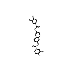 Cc1cc(OC(=O)c2ccc(F)c(F)c2)cc2ccc(OC(=O)c3ccc(F)c(F)c3)cc12